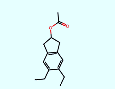 CCc1cc2c(cc1CC)CC(OC(C)=O)C2